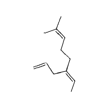 C=CC/C(=C\C)CCC=C(C)C